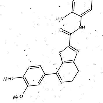 COc1ccc(C2=NCCc3nc(C(=O)Nc4ccccc4N)sc32)cc1OC